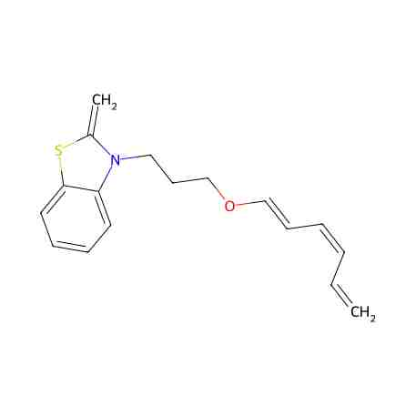 C=C/C=C\C=COCCCN1C(=C)Sc2ccccc21